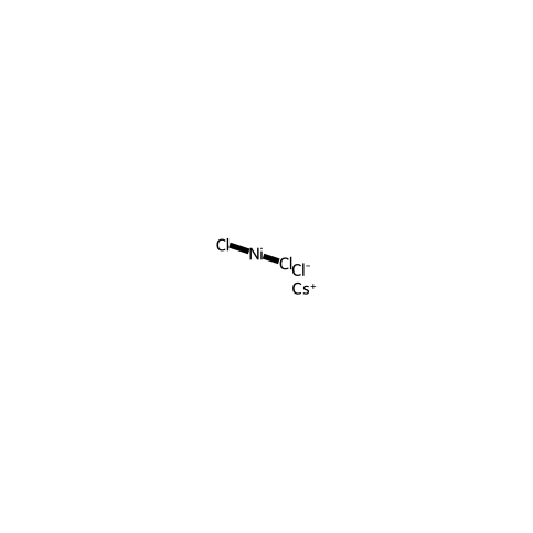 [Cl-].[Cl][Ni][Cl].[Cs+]